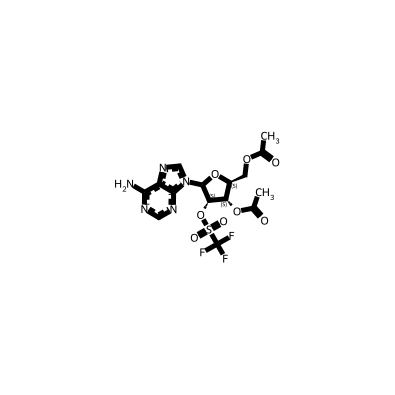 CC(=O)OC[C@@H]1OC(n2cnc3c(N)ncnc32)[C@@H](OS(=O)(=O)C(F)(F)F)[C@H]1OC(C)=O